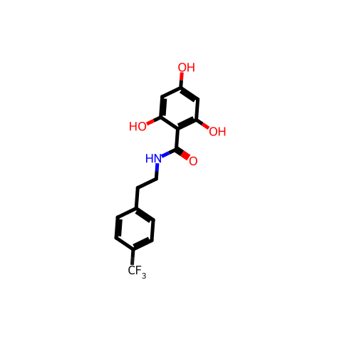 O=C(NCCc1ccc(C(F)(F)F)cc1)c1c(O)cc(O)cc1O